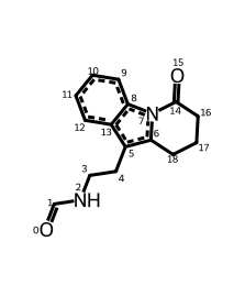 O=CNCCc1c2n(c3ccccc13)C(=O)CCC2